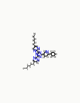 CCCCCCc1cnc(-c2nc(-c3ccc(-c4ccccc4)nc3)nc(-c3ncc(CCCCCC)cn3)n2)nc1